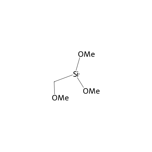 COC[Si](OC)OC